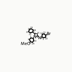 COc1ccc(N2/C(=N/c3ccc(Br)cc3)CC2c2ccccc2)cc1